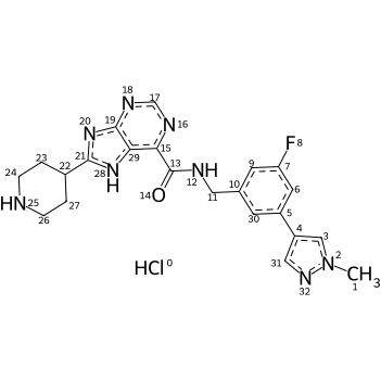 Cl.Cn1cc(-c2cc(F)cc(CNC(=O)c3ncnc4nc(C5CCNCC5)[nH]c34)c2)cn1